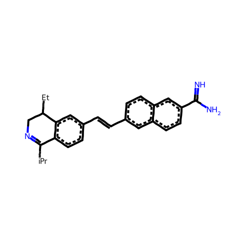 CCC1CN=C(C(C)C)c2ccc(/C=C/c3ccc4cc(C(=N)N)ccc4c3)cc21